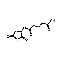 CC(=O)CCCC(=O)OC1CC(=O)NC1=O